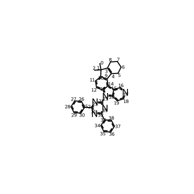 CC1(C)C2=C(CCCC2)c2c1ccc1c2c2cnccc2n1-c1nc(-c2ccccc2)nc(-c2ccccc2)n1